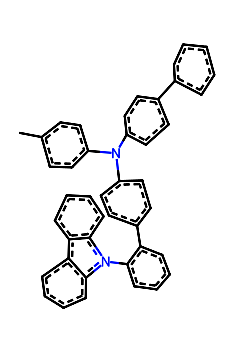 Cc1ccc(N(c2ccc(-c3ccccc3)cc2)c2ccc(-c3ccccc3-n3c4ccccc4c4ccccc43)cc2)cc1